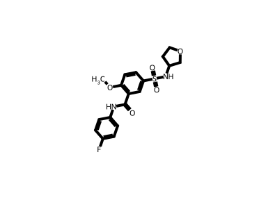 COc1ccc(S(=O)(=O)NC2CCOC2)cc1C(=O)Nc1ccc(F)cc1